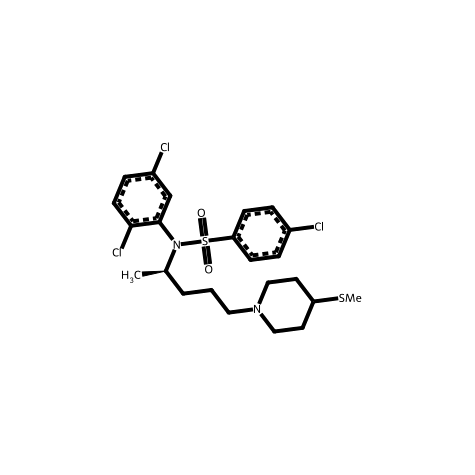 CSC1CCN(CCC[C@@H](C)N(c2cc(Cl)ccc2Cl)S(=O)(=O)c2ccc(Cl)cc2)CC1